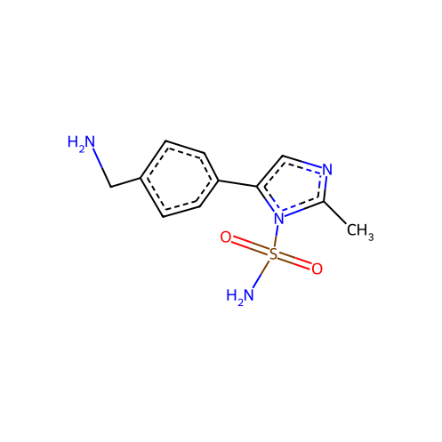 Cc1ncc(-c2ccc(CN)cc2)n1S(N)(=O)=O